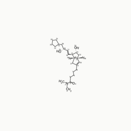 CN(C)C(=O)CCCCC1=C[C@H]2C[C@@H](O)[C@H](/C=C/[C@H](O)CC3CCCC3)[C@H]2C1